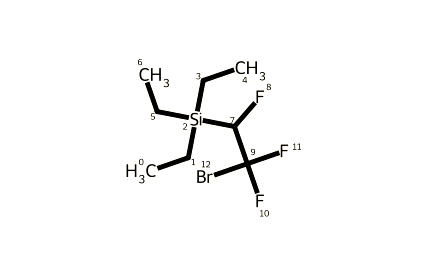 CC[Si](CC)(CC)C(F)C(F)(F)Br